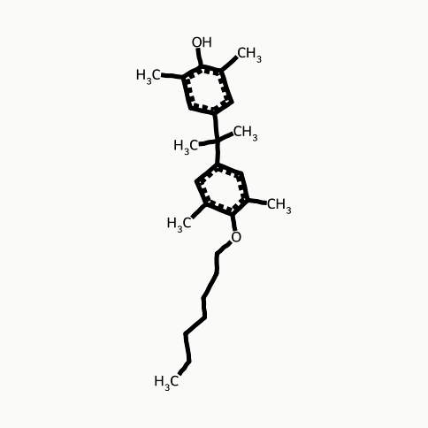 CCCCCCCOc1c(C)cc(C(C)(C)c2cc(C)c(O)c(C)c2)cc1C